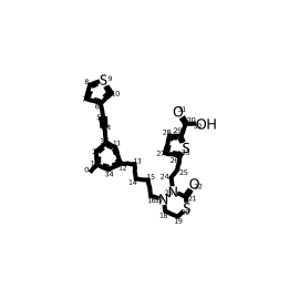 Cc1cc(C#Cc2ccsc2)cc(CCCCN2CCSC(=O)N2CCc2ccc(C(=O)O)s2)c1